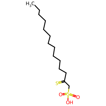 CCCCCCCCCCCCC(=S)CS(=O)(=O)O